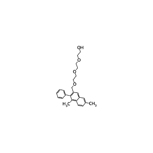 Cc1ccc2c(C)c(-c3ccccc3)c(COCCOCCOCCO)cc2c1